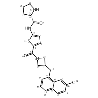 O=C(Nc1ccc(C(=O)N2CC(Cc3ccnc4ccc(Cl)cc34)C2)s1)[C@@H]1CCCN1